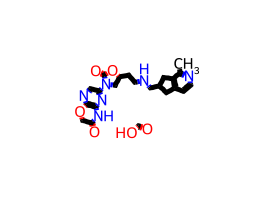 Cc1nccc2c1CC(CNCCC1CN(c3cnc4c(n3)NC(=O)CO4)C(=O)O1)C2.O=CO